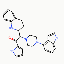 O=C(c1ccc[nH]1)C(C1CCc2ccccc2N1)N1CCN(c2cccc3[nH]ccc23)CC1